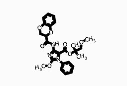 COCC(C)(C)OC(=O)c1c(NC(=O)C2COc3ccccc3O2)nc(OC)n1-c1ccccc1